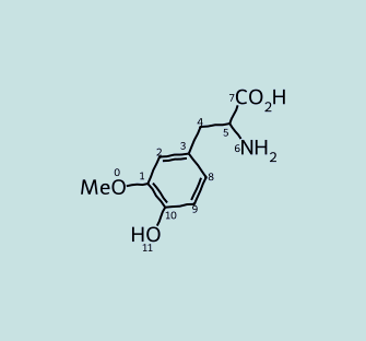 COc1cc(CC(N)C(=O)O)ccc1O